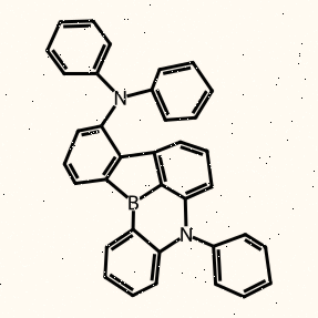 c1ccc(N(c2ccccc2)c2cccc3c2-c2cccc4c2B3c2ccccc2N4c2ccccc2)cc1